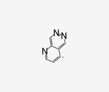 [c]1ccnc2cnncc12